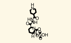 O=C(NNC(=O)[C@@H]1CC[C@@H]2CN1C(=O)N2OS(=O)(=O)O)C1CCNCC1